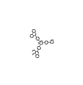 C=Cc1c(/C=C\C)c(-c2ccc(-c3cc(-c4ccc(-c5cccnc5)cc4)nc(-c4ccc(-c5cc6ccccc6c6ccccc56)cc4)n3)cc2)cc2ccccc12